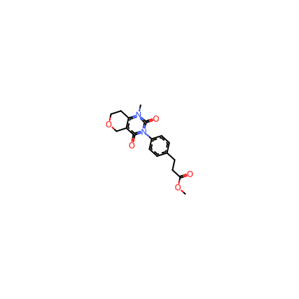 COC(=O)CCc1ccc(-n2c(=O)c3c(n(C)c2=O)CCOC3)cc1